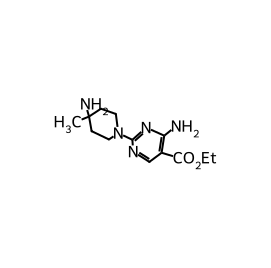 CCOC(=O)c1cnc(N2CCC(C)(N)CC2)nc1N